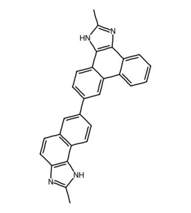 Cc1nc2ccc3cc(-c4ccc5c(c4)c4ccccc4c4nc(C)[nH]c54)ccc3c2[nH]1